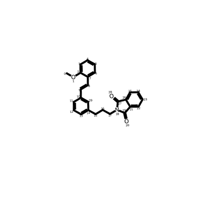 COc1ccccc1C=Cc1cccc(CCCN2C(=O)c3ccccc3C2=O)c1